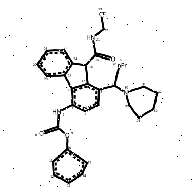 CCCC(c1ccc(NC(=O)Oc2ccccc2)c2c1C(C(=O)NCC(F)(F)F)c1ccccc1-2)N1CCCCC1